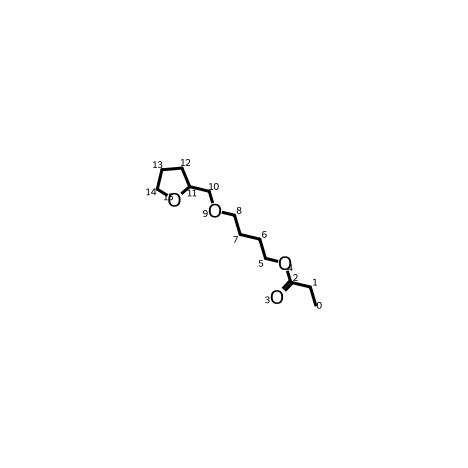 CCC(=O)OCCCCOCC1CCCO1